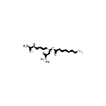 CCCCCCCC(=O)O[C@@H](CCCCNC(=N)N)CC(N)=O.Cl